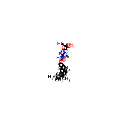 C#C[C@]1(CO)O[C@@H](n2cnc3c(NC(=O)O[C@H]4CC[C@@]5(C)C(=CC[C@H]6[C@@H]7CC[C@H]([C@H](C)CC[C@@H](C)C(C)C)[C@@]7(C)CC[C@@H]65)C4)nc(F)nc32)C[C@@H]1O